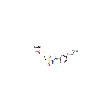 CC[C@H](C)COc1cccc([C@@H](C)NS(=O)(=O)CCCOCOC)c1